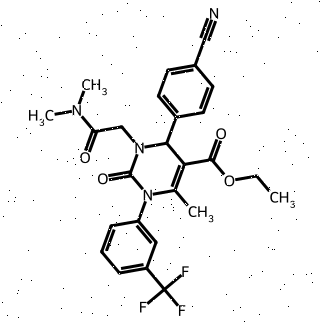 CCOC(=O)C1=C(C)N(c2cccc(C(F)(F)F)c2)C(=O)N(CC(=O)N(C)C)C1c1ccc(C#N)cc1